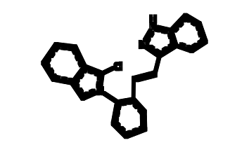 Clc1c2ccccc2cn1-c1ccccc1C=Cc1n[nH]c2ccccc12